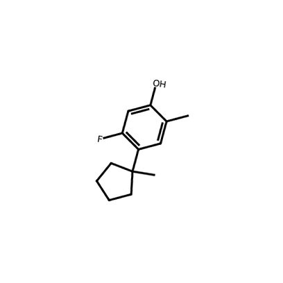 Cc1cc(C2(C)CCCC2)c(F)cc1O